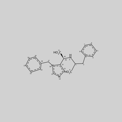 O=C(O)C(Cc1ccccc1)N[C@H](C(=O)O)c1cncn1Cc1ccccc1